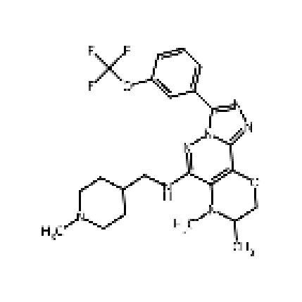 CC1COc2c(c(NCC3CCN(C)CC3)nn3c(-c4cccc(OC(F)(F)F)c4)nnc23)N1C